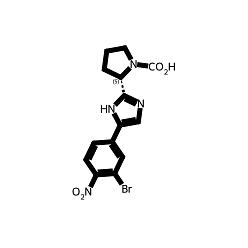 O=C(O)N1CCC[C@H]1c1ncc(-c2ccc([N+](=O)[O-])c(Br)c2)[nH]1